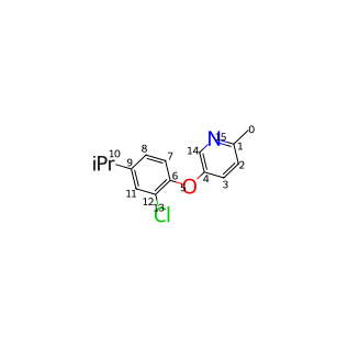 Cc1ccc(Oc2ccc(C(C)C)cc2Cl)cn1